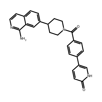 Nc1nccc2ccc(C3CCN(C(=O)c4ccc(-c5ccc(=O)[nH]c5)cc4)CC3)cc12